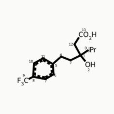 CC(C)C(O)(CCc1ccc(C(F)(F)F)cc1)CC(=O)O